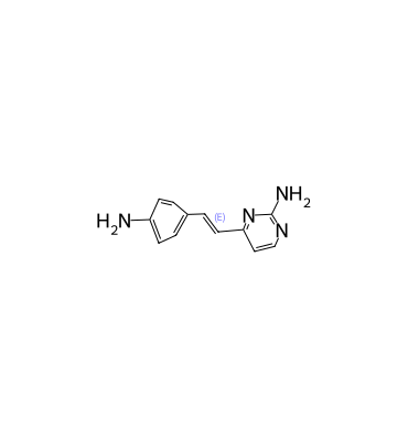 Nc1ccc(/C=C/c2ccnc(N)n2)cc1